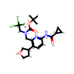 CC(C)(C)OC(=O)N(Cc1nc(NC(=O)C2CC2)ccc1C1CCOC1)CC(F)(F)F